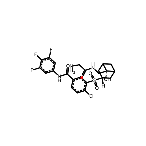 NCC(=O)NC[C@]1(O)C2CC1C[C@@H](S(=O)(=O)c1cc(C(=O)Nc3cc(F)c(F)c(F)c3)ccc1Cl)C2